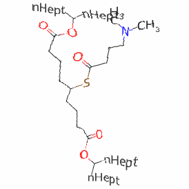 CCCCCCCC(CCCCCCC)OC(=O)CCCC(CCCC(=O)OC(CCCCCCC)CCCCCCC)SC(=O)CCCN(C)C